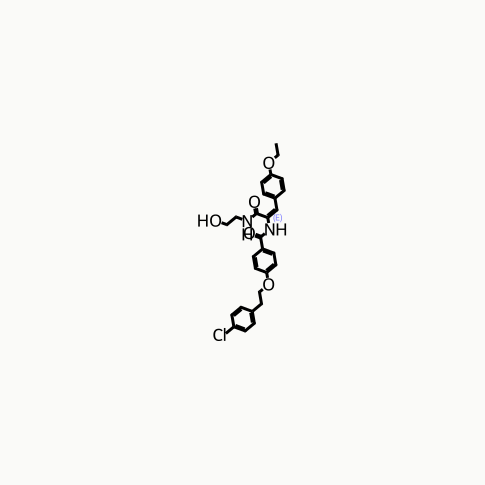 CCOc1ccc(/C=C(/NC(=O)c2ccc(OCCc3ccc(Cl)cc3)cc2)C(=O)NCCO)cc1